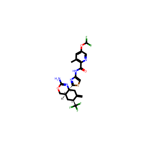 C=C1C[C@]2(c3nc(NC(=O)c4ncc(OC(F)F)cc4C)cs3)N=C(N)OC[C@@H]2C[C@@H]1C(F)(F)F